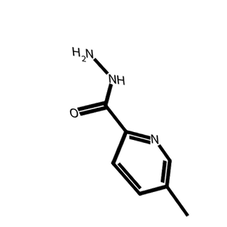 Cc1ccc(C(=O)NN)nc1